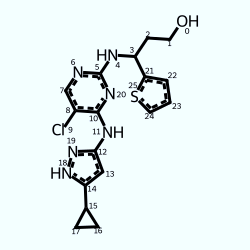 OCCC(Nc1ncc(Cl)c(Nc2cc(C3CC3)[nH]n2)n1)c1cccs1